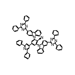 N#Cc1c(-n2c3ccccc3c3cc(-c4nc(-c5ccccc5)nc(-c5ccccc5)n4)ccc32)cc(-c2cc(-c3ccccc3)nc(-c3ccccc3)c2)cc1-n1c2ccccc2c2cc(-c3nc(-c4ccccc4)nc(-c4ccccc4)n3)ccc21